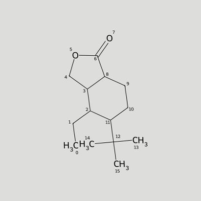 CCC1C2COC(=O)C2CCC1C(C)(C)C